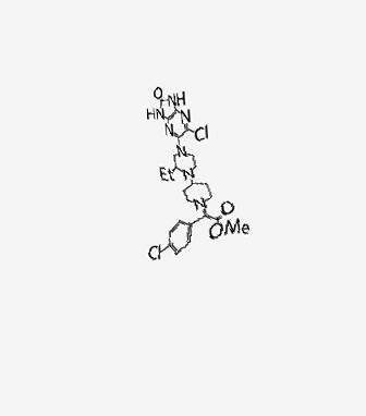 CC[C@H]1CN(c2nc3[nH]c(=O)[nH]c3nc2Cl)CCN1C1CCN([C@@H](C(=O)OC)c2ccc(Cl)cc2)CC1